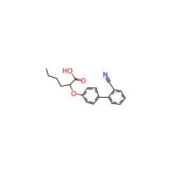 CCCCC(Oc1ccc(-c2ccccc2C#N)cc1)C(=O)O